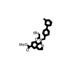 COC(=O)c1ccc2c(N(Cc3ccc(-c4cccc(C)c4)cc3)C(=O)CC(C)(C)C)nccc2c1